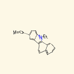 CCn1c2ccc(OC)cc2c2ccc3ccccc3c21